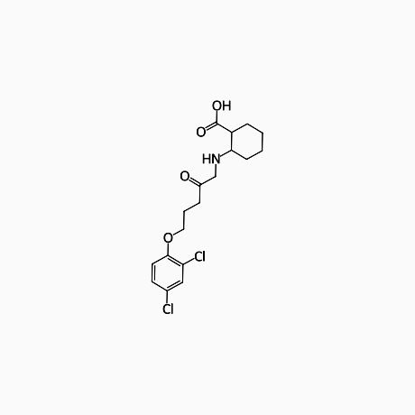 O=C(CCCOc1ccc(Cl)cc1Cl)CNC1CCCCC1C(=O)O